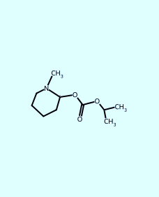 CC(C)OC(=O)O[C]1CCCCN1C